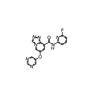 O=C(Nc1cccc(F)n1)c1cc(Oc2cncnc2)cn2cnnc12